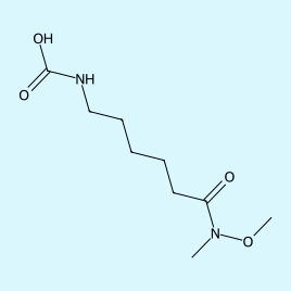 CON(C)C(=O)CCCCCNC(=O)O